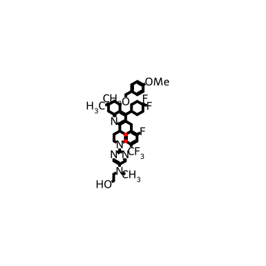 COc1ccc(CO[C@H]2CC(C)(C)Cc3nc(C4CCN(c5ncc(N(C)CCO)cn5)CC4)c(Cc4ccc(C(F)(F)F)cc4F)c(C4CCC(F)(F)CC4)c32)cc1